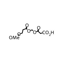 COOCCC(=O)OCOC(=O)CC(=O)O